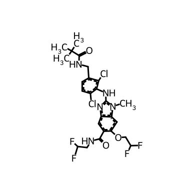 Cn1c(Nc2c(Cl)ccc(CNC(=O)C(C)(C)C)c2Cl)nc2cc(C(=O)NCC(F)F)c(OCC(F)F)cc21